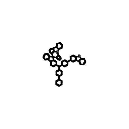 c1ccc(-c2ccc(C(c3ccc(-c4ccc5oc6ccccc6c5c4)cc3)c3ccc4c(c3)C3(c5ccccc5-4)c4ccccc4-n4c5ccccc5c5cccc3c54)cc2)cc1